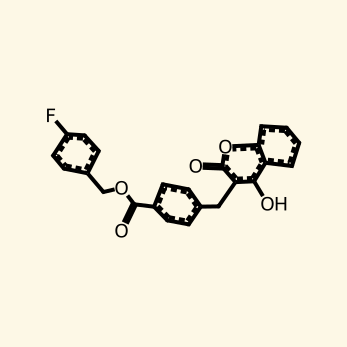 O=C(OCc1ccc(F)cc1)c1ccc(Cc2c(O)c3ccccc3oc2=O)cc1